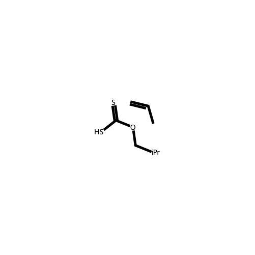 C=CC.CC(C)COC(=S)S